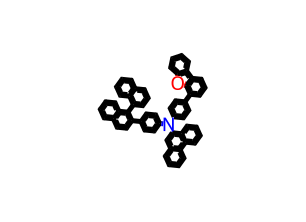 c1ccc2c(-c3c(-c4ccc(N(c5ccc(-c6cccc7c6oc6ccccc67)cc5)c5cc6ccccc6c6ccccc56)cc4)ccc4ccccc34)cccc2c1